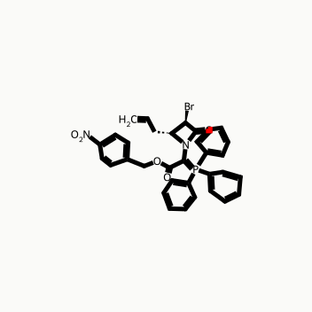 C=CC[C@@H]1[C@@H](Br)C(=O)N1C(C(=O)OCc1ccc([N+](=O)[O-])cc1)=P(c1ccccc1)(c1ccccc1)c1ccccc1